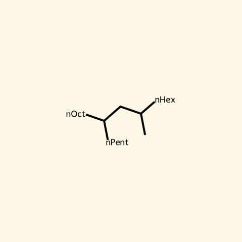 CCCCCCCCC(CCCCC)CC(C)CCCCCC